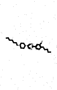 CCCCCCC[C@H]1CC[C@H](c2cnc(-c3ccc(CCCCC)c(F)c3)nc2)CC1